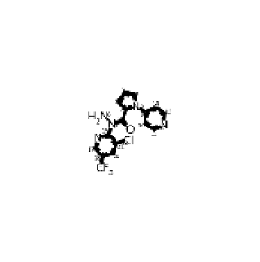 NN(C(=O)c1cccn1-c1ccncc1)c1ncc(C(F)(F)F)cc1Cl